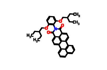 CCC(CC)COc1cccc(OCC(CC)CC)c1N1C(=O)c2ccc3c4cccc5cccc(c6ccc(c2c36)C1=O)c54